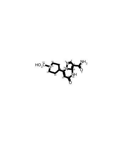 NC(=O)c1cnn2c(C3CCN(C(=O)O)CC3)cc(=O)[nH]c12